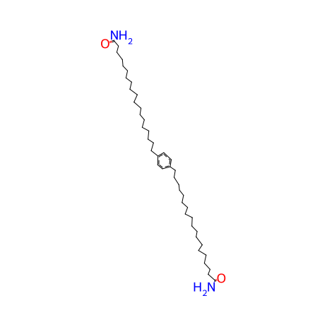 NC(=O)CCCCCCCCCCCCCCCCCCc1ccc(CCCCCCCCCCCCCCCCCCC(N)=O)cc1